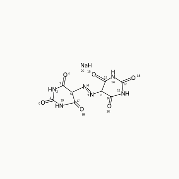 O=C1NC(=O)C(N=NC2C(=O)NC(=O)NC2=O)C(=O)N1.[NaH]